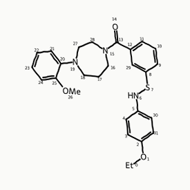 CCOc1ccc(NSc2cccc(C(=O)N3CCCN(c4ccccc4OC)CC3)c2)cc1